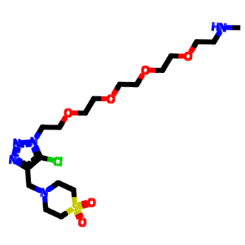 CNCCOCCOCCOCCOCCn1nnc(CN2CCS(=O)(=O)CC2)c1Cl